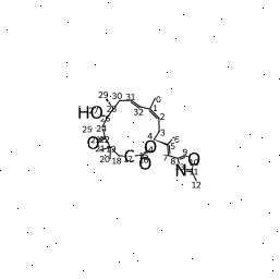 CC1=C/C[C@@H](/C(C)=C/c2coc(C)n2)OC(=O)CCC(C)(C)C(=O)[C@H](C)[C@@H](O)[C@@H](C)C\C=C\1